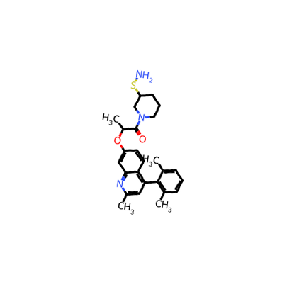 Cc1cc(-c2c(C)cccc2C)c2ccc(OC(C)C(=O)N3CCCC(SN)C3)cc2n1